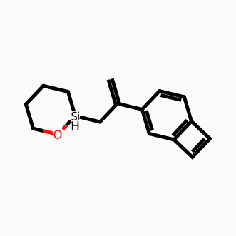 C=C(C[SiH]1CCCCO1)c1ccc2c(c1)C=C2